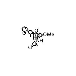 CO[C@@H]1C[C@H](C(=O)Nc2ccc(-n3ccccc3=O)cc2C)N(C(=O)Nc2ccc(Cl)cn2)C1